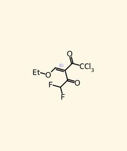 CCO/C=C(\C(=O)C(F)F)C(=O)C(Cl)(Cl)Cl